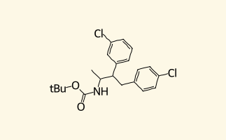 CC(NC(=O)OC(C)(C)C)C(Cc1ccc(Cl)cc1)c1cccc(Cl)c1